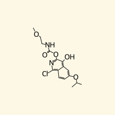 COCCNC(=O)Oc1nc(Cl)c2ccc(OC(C)C)cc2c1O